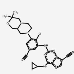 CC1(C)CN2CCN(c3cc(C#N)cc(Nc4nc(NC5CC5)c5ncc(C#N)n5n4)c3Cl)CC2CO1